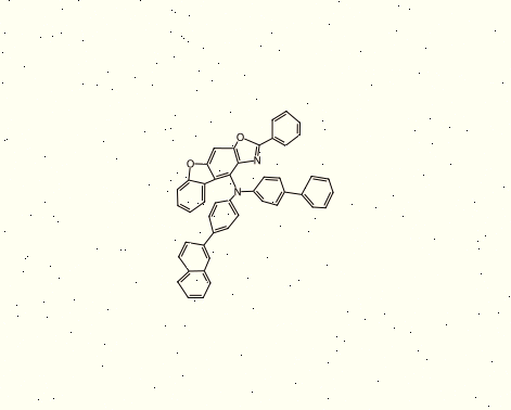 c1ccc(-c2ccc(N(c3ccc(-c4ccc5ccccc5c4)cc3)c3c4nc(-c5ccccc5)oc4cc4oc5ccccc5c34)cc2)cc1